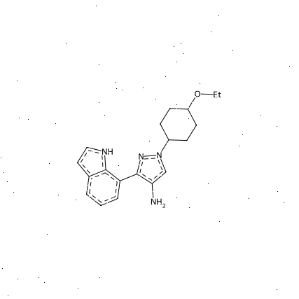 CCOC1CCC(n2cc(N)c(-c3cccc4cc[nH]c34)n2)CC1